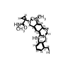 CNC(=O)C1(N(C)Cc2cc3c(Nc4cccc(CI)c4F)ncnc3cc2OC)CC1